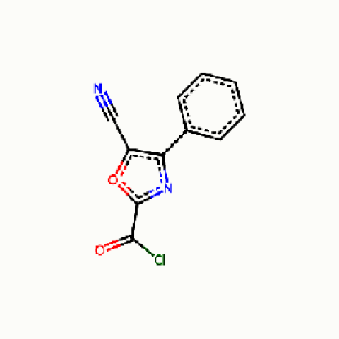 N#Cc1oc(C(=O)Cl)nc1-c1ccccc1